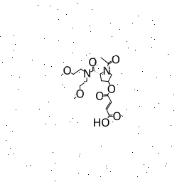 COCCN(CCOC)C(=O)[C@H]1C[C@H](OC(=O)/C=C/C(=O)O)CN1C(C)=O